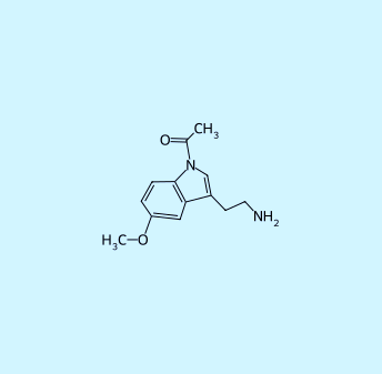 COc1ccc2c(c1)c(CCN)cn2C(C)=O